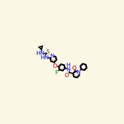 O=C(Nc1ccc(Oc2ccnc(NC(=S)NC3CC3)c2)c(F)c1)c1cccn(-c2ccccc2)c1=O